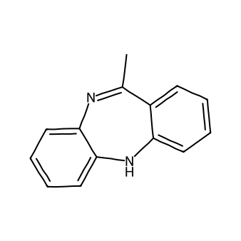 CC1=Nc2ccccc2Nc2ccccc21